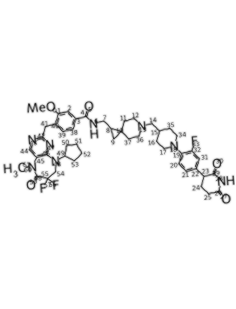 COc1cc(C(=O)NCC2CC23CCN(CC2CCN(c4ccc(C5CCC(=O)NC5=O)cc4F)CC2)CC3)ccc1Cc1ncc2c(n1)N(C1CCCC1)CC(F)(F)C(=O)N2C